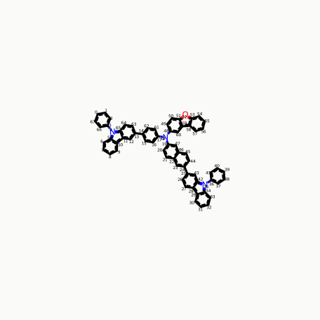 c1ccc(-n2c3ccccc3c3cc(-c4ccc(N(c5ccc6cc(-c7ccc8c9ccccc9n(-c9ccccc9)c8c7)ccc6c5)c5ccc6oc7ccccc7c6c5)cc4)ccc32)cc1